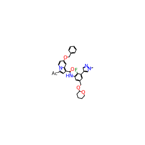 CC(=O)c1cc(C(=O)Nc2cc(COC3CCCCO3)cc(-c3cnn(C)c3)c2F)c2cc(OCc3ccccc3)ccn12